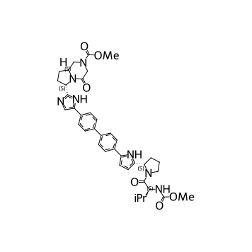 COC(=O)N[C@H](C(=O)N1CCC[C@H]1c1ccc(-c2ccc(-c3ccc(-c4cnc([C@@H]5CC[C@H]6CN(C(=O)OC)CC(=O)N65)[nH]4)cc3)cc2)[nH]1)C(C)C